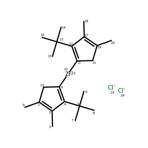 CC1=C(C)C(C(C)(C)C)=[C]([Zr+2][C]2=C(C(C)(C)C)C(C)=C(C)C2)C1.[Cl-].[Cl-]